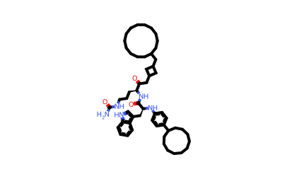 NC(=O)NCCC[C@H](NC(=O)[C@H](Cc1c[nH]c2ccccc12)Nc1ccc(C2CCCCCCCCCC2)cc1)C(=O)CC1CC(CC2CCCCCCCCCCCCC2)C1